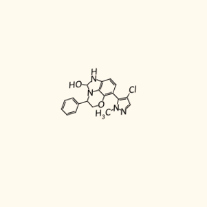 Cn1ncc(Cl)c1-c1ccc2c3c1OCC(c1ccccc1)N3C(O)N2